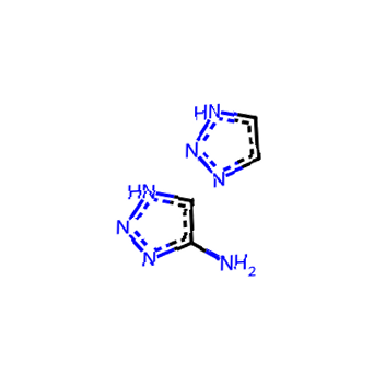 Nc1c[nH]nn1.c1c[nH]nn1